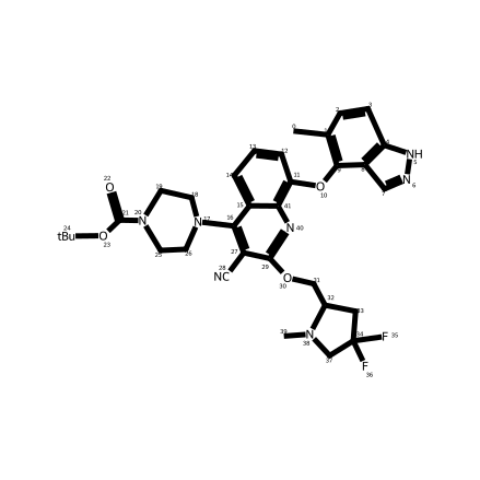 Cc1ccc2[nH]ncc2c1Oc1cccc2c(N3CCN(C(=O)OC(C)(C)C)CC3)c(C#N)c(OCC3CC(F)(F)CN3C)nc12